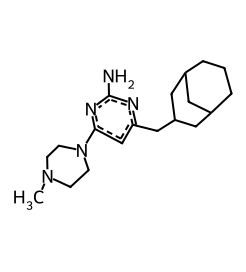 CN1CCN(c2cc(CC3CC4CCCC(C4)C3)nc(N)n2)CC1